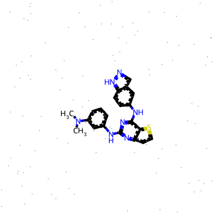 CN(C)c1cccc(Nc2nc(Nc3ccc4[nH]ncc4c3)c3sccc3n2)c1